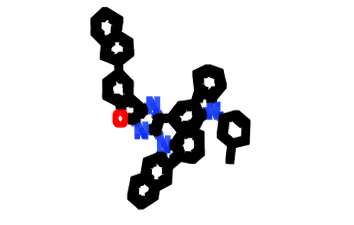 CC1C=C(n2c3ccccc3c3cc(-c4nc5c(nc4-n4c6ccccc6c6cc7ccccc7cc64)oc4ccc(-c6ccc7ccccc7c6)cc45)ccc32)C=CC1